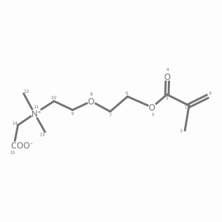 C=C(C)C(=O)OCCOCC[N+](C)(C)CC(=O)[O-]